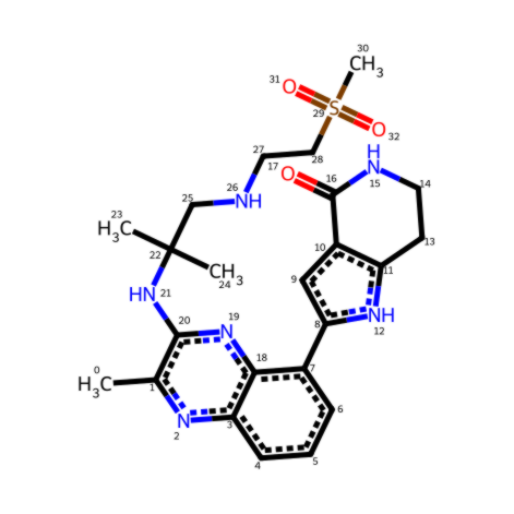 Cc1nc2cccc(-c3cc4c([nH]3)CCNC4=O)c2nc1NC(C)(C)CNCCS(C)(=O)=O